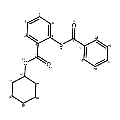 O=C(Sc1ccccc1C(=O)OC1CCCCC1)c1ccccc1